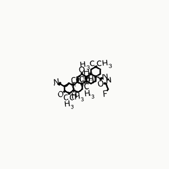 CC1(C)CC[C@]2(c3nnc(CF)o3)CC[C@]3(C)[C@H](C(=O)C=C4[C@@]5(C)C=C(C#N)C(=O)C(C)(C)[C@@H]5CC[C@]43C)[C@@H]2C1